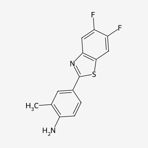 Cc1cc(-c2nc3cc(F)c(F)cc3s2)ccc1N